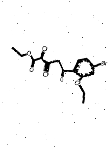 CCOC(=O)C(=O)C(=O)CC(=O)c1ccc(Br)cc1OCC